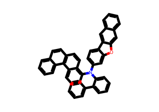 c1ccc(-c2ccccc2N(c2ccc3c(c2)oc2cc4ccccc4cc23)c2cccc3c2ccc2ccc4ccccc4c23)cc1